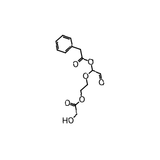 O=CC(OCCOC(=O)CO)OC(=O)Cc1ccccc1